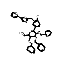 OCC1OC(c2ccc(Cl)c(Cc3ncc(-c4ccco4)s3)c2)C(OCc2ccccc2)C(OCc2ccccc2)C1OCc1ccccc1